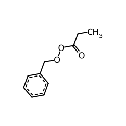 CCC(=O)OOCc1ccccc1